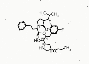 CCCO[C@H]1CN[C@@H]([C@@H](O)[C@H](Cc2cc(F)cc(F)c2)OC(=O)C(CCc2ccccc2)N2CCC(CC(C)C)C2=O)C1